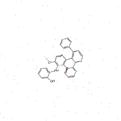 COc1ccc(-c2c(-c3ccccc3)cccc2-c2ccccc2)c(OC)c1Pc1ccccc1O